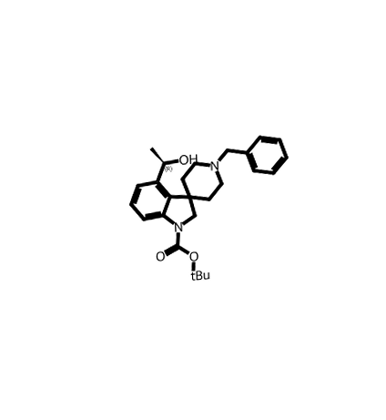 C[C@@H](O)c1cccc2c1C1(CCN(Cc3ccccc3)CC1)CN2C(=O)OC(C)(C)C